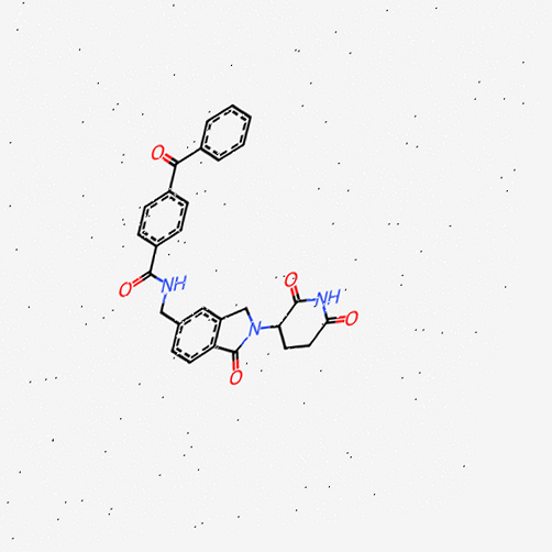 O=C1CCC(N2Cc3cc(CNC(=O)c4ccc(C(=O)c5ccccc5)cc4)ccc3C2=O)C(=O)N1